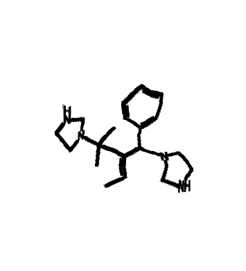 CC=C(C(c1ccccc1)N1CCNC1)C(C)(C)N1CCNC1